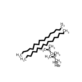 Br.Br.CCCCCCCCCCCCCCCC.CCCCCCCCCCCCCCCC.CN(C)C.CN(C)C